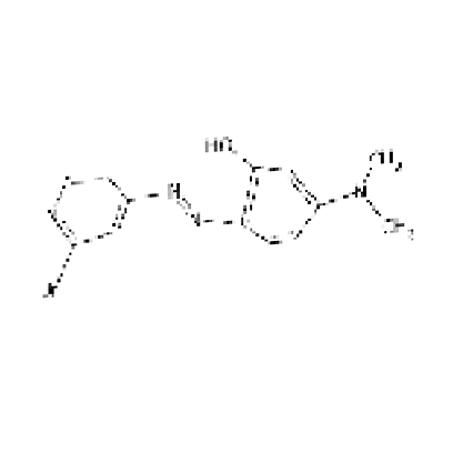 CN(C)c1ccc(/N=N/c2ccnc(Br)c2)c(O)c1